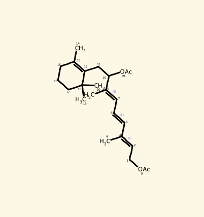 CC(=O)OC/C=C(C)/C=C/C=C(\C)C(CC1=C(C)CCCC1(C)C)OC(C)=O